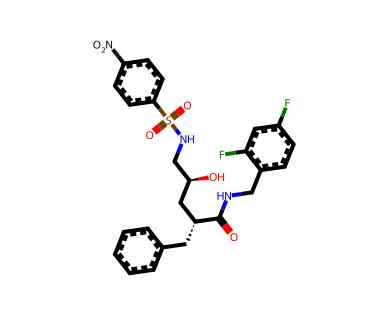 O=C(NCc1ccc(F)cc1F)[C@H](Cc1ccccc1)C[C@H](O)CNS(=O)(=O)c1ccc([N+](=O)[O-])cc1